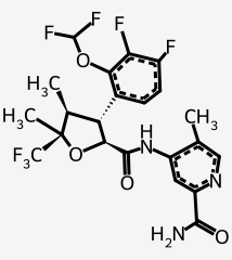 Cc1cnc(C(N)=O)cc1NC(=O)[C@H]1O[C@@](C)(C(F)(F)F)[C@@H](C)[C@@H]1c1ccc(F)c(F)c1OC(F)F